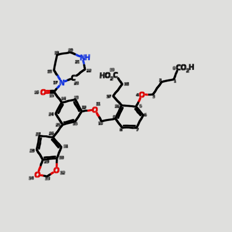 O=C(O)CCCOc1cccc(COc2cc(C(=O)N3CCCNCC3)cc(-c3ccc4c(c3)OCO4)c2)c1CCC(=O)O